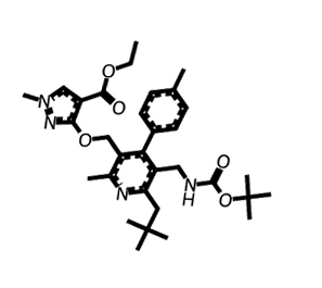 CCOC(=O)c1cn(C)nc1OCc1c(C)nc(CC(C)(C)C)c(CNC(=O)OC(C)(C)C)c1-c1ccc(C)cc1